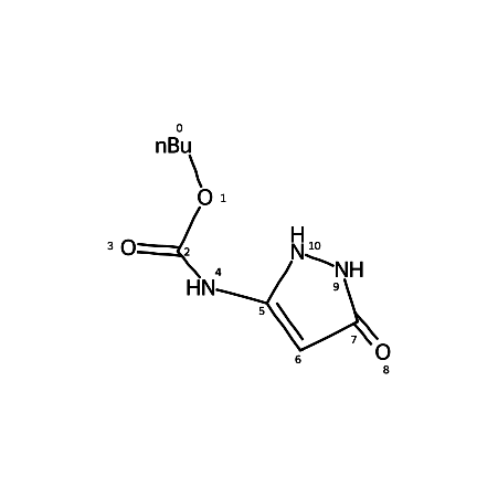 CCCCOC(=O)Nc1cc(=O)[nH][nH]1